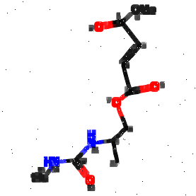 COC(=O)/C=C/C(=O)OCC(C)NC(=O)NC(C)(C)C